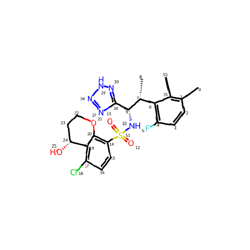 Cc1ccc(F)c([C@@H](C)[C@H](NS(=O)(=O)c2ccc(Cl)c3c2OCC[C@H]3O)c2nn[nH]n2)c1C